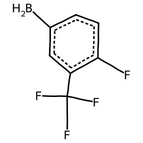 Bc1ccc(F)c(C(F)(F)F)c1